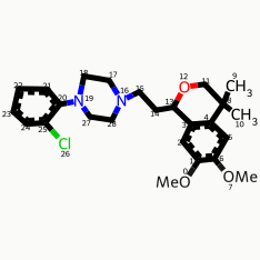 COc1cc2c(cc1OC)C(C)(C)COC2CCN1CCN(c2ccccc2Cl)CC1